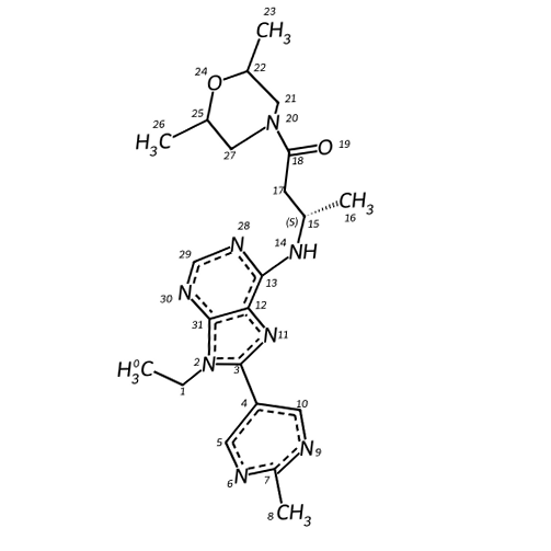 CCn1c(-c2cnc(C)nc2)nc2c(N[C@@H](C)CC(=O)N3CC(C)OC(C)C3)ncnc21